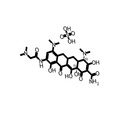 CN(C)CC(=O)Nc1cc(N(C)C)c2c(c1O)C(=O)C1=C(O)[C@]3(O)C(=O)C(C(N)=O)=C(O)[C@@H](N(C)C)C3CC1C2.O=S(=O)(O)O